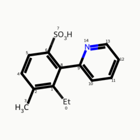 CCc1c(C)ccc(S(=O)(=O)O)c1-c1ccccn1